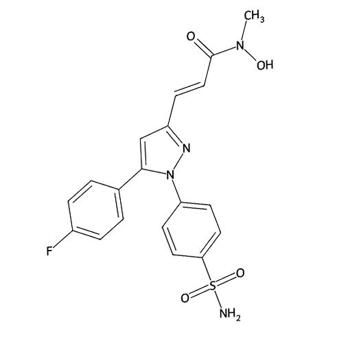 CN(O)C(=O)C=Cc1cc(-c2ccc(F)cc2)n(-c2ccc(S(N)(=O)=O)cc2)n1